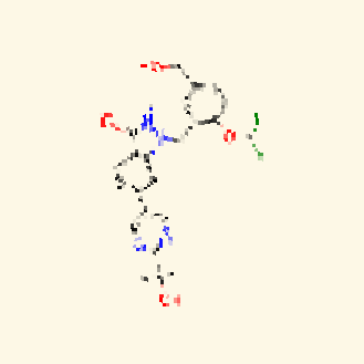 Cn1c(=O)c2ccc(-c3cnc(C(C)(C)O)nc3)cc2n1Cc1cc(CO)ccc1OC(F)F